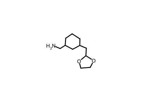 NCC1CCCC(CC2OCCO2)C1